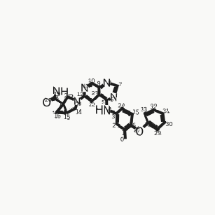 Cc1cc(Nc2ncnc3cnc(N4CC5[CH]C5(C(N)=O)C4)cc23)ccc1Oc1ccccc1